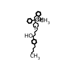 CCCCCc1ccc(C(O)CCCN2CCC(C(O)(Cc3ccccc3OC)c3ccccc3)CC2)cc1